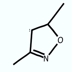 CC1=NOC(C)[C]1